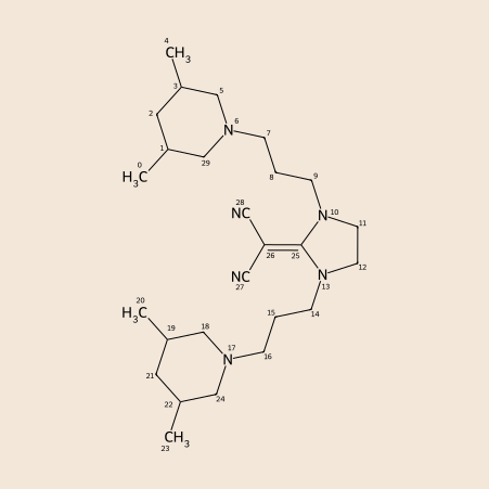 CC1CC(C)CN(CCCN2CCN(CCCN3CC(C)CC(C)C3)C2=C(C#N)C#N)C1